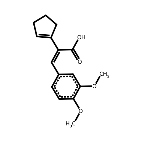 COc1ccc(C=C(C(=O)O)C2=CCCC2)cc1OC